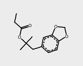 CCC(=O)OC(C)(C)Cc1ccc2c(c1)OCO2